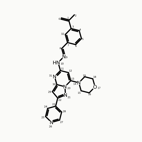 C=C(C)c1cccc(/C=N/Nc2cc(N3CCOCC3)n3nc(-c4ccncc4)cc3n2)c1